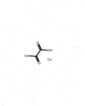 O=C(O)C(=O)O.[Ca]